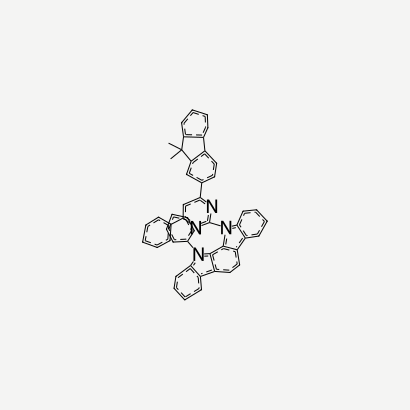 CC1(C)c2ccccc2-c2ccc(-c3cc(-c4ccccc4)nc(-n4c5ccccc5c5ccc6c7ccccc7n(-c7ccccc7)c6c54)n3)cc21